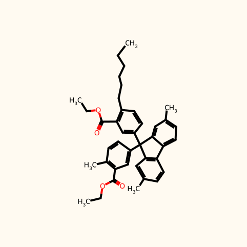 CCCCCCc1ccc(C2(c3ccc(C)c(C(=O)OCC)c3)c3cc(C)ccc3-c3ccc(C)cc32)cc1C(=O)OCC